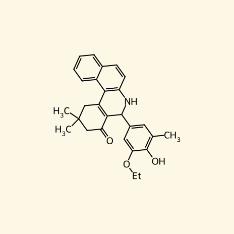 CCOc1cc(C2Nc3ccc4ccccc4c3C3=C2C(=O)CC(C)(C)C3)cc(C)c1O